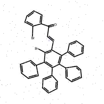 O=C(/C=C/c1c(Br)c(-c2ccccc2)c(-c2ccccc2)c(-c2ccccc2)c1-c1ccccc1)c1ccccc1Br